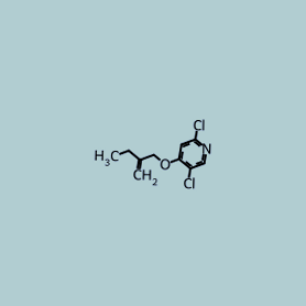 C=C(CC)COc1cc(Cl)ncc1Cl